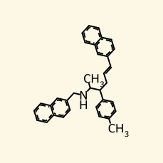 Cc1ccc(C(CC=Cc2ccc3ccccc3c2)C(C)NCc2ccc3ccccc3c2)cc1